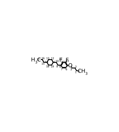 CCCCOc1ccc(CCC2CCC(CCC)CC2)c(F)c1F